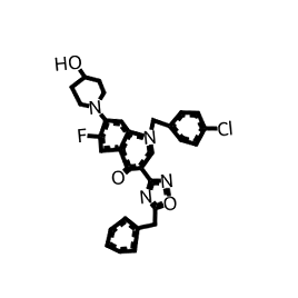 O=c1c(-c2noc(Cc3ccccc3)n2)cn(Cc2ccc(Cl)cc2)c2cc(N3CCC(O)CC3)c(F)cc12